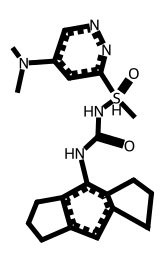 CN(C)c1cnnc([SH](C)(=O)NC(=O)Nc2c3c(cc4c2CCC4)CCC3)c1